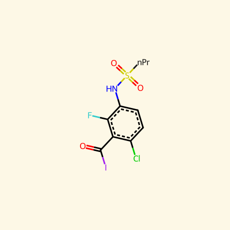 CCCS(=O)(=O)Nc1ccc(Cl)c(C(=O)I)c1F